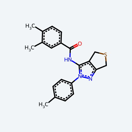 Cc1ccc(-n2nc3c(c2NC(=O)c2ccc(C)c(C)c2)CSC3)cc1